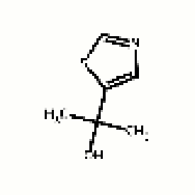 CC(C)(O)c1cncs1